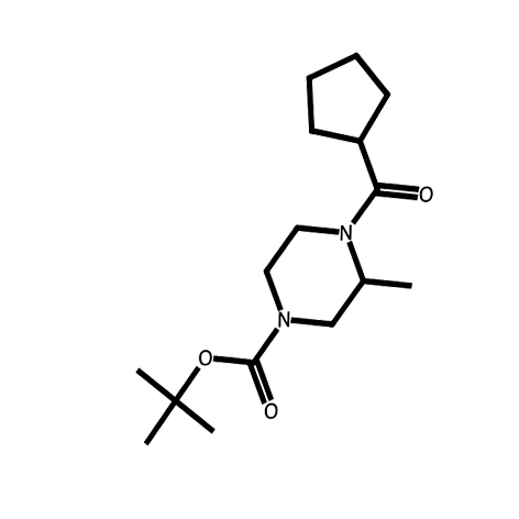 CC1CN(C(=O)OC(C)(C)C)CCN1C(=O)C1CCCC1